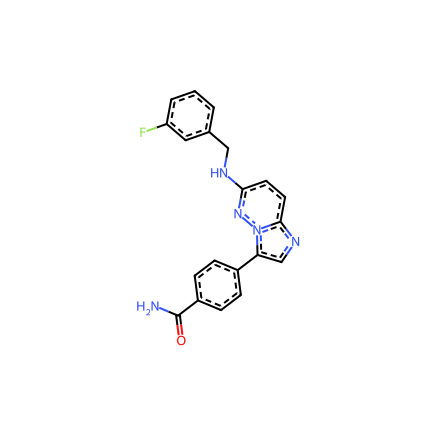 NC(=O)c1ccc(-c2cnc3ccc(NCc4cccc(F)c4)nn23)cc1